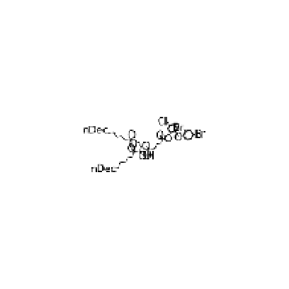 CCCCCCCCCCCCCCCC(=O)OCC(OC(=O)CCCC(=O)Oc1cc(Cl)ccc1Oc1ccc(Br)cc1Br)C(O)C(=O)CCCCCCCCCCCCCCC